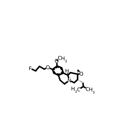 COc1cc2c(cc1OCCCF)CCN1C[C@@H](CC(C)C)[C@@]3(CO3)C[C@H]21